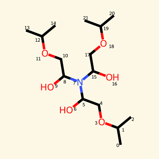 CC(C)OCC(O)N(C(O)COC(C)C)C(O)COC(C)C